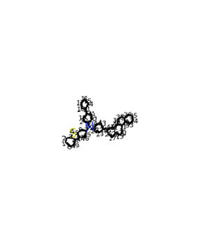 C1=CCC2Sc3cc(N(c4ccc(-c5ccccc5)cc4)c4ccc(-c5ccc6ccc7c8ccccc8ccc7c6c5)cc4)ccc3C2=C1